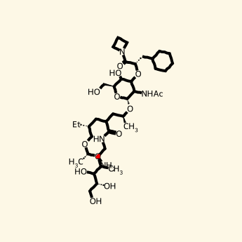 CC[C@@H](CO[C@@H](C)OC(C)C(O)[C@H](O)CO)CC(C[C@H](C)O[C@@H]1O[C@@H](CO)C(O)C(O[C@@H](CC2CCCCC2)C(=O)N2CCC2)C1NC(C)=O)C(=O)NCCN